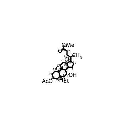 CC[C@H]1[C@@H](O)C2C3CCC([C@H](C)CCC(=O)OC)[C@@]3(C)CCC2[C@@]2(C)CC[C@@H](OC(C)=O)C[C@@H]12